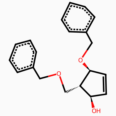 O[C@@H]1C=C[C@H](OCc2ccccc2)[C@H]1COCc1ccccc1